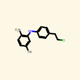 N#Cc1ccc([N+](=O)[O-])c(Nc2ccc(CCCl)cc2)c1